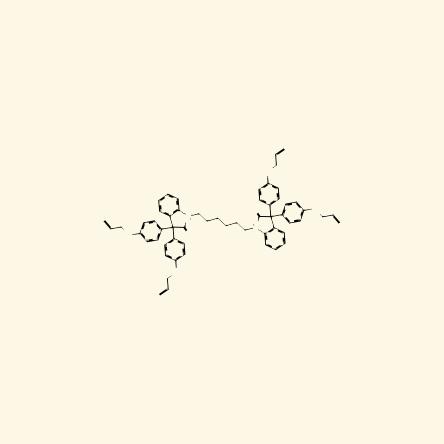 C=CCOc1ccc(C2(c3ccc(OCC=C)cc3)C(=O)N(CCCCCCN3C(=O)C(c4ccc(OCC=C)cc4)(c4ccc(OCC=C)cc4)c4ccccc43)c3ccccc32)cc1